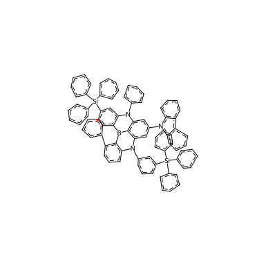 c1ccc(-c2cccc3c2B2c4ccc([Si](c5ccccc5)(c5ccccc5)c5ccccc5)cc4N(c4ccccc4)c4cc(-n5c6ccccc6c6ccccc65)cc(c42)N3c2cccc([Si](c3ccccc3)(c3ccccc3)c3ccccc3)c2)cc1